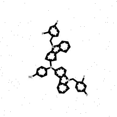 N#Cc1ccc(N(c2ccc3c(c2)c2ccccc2n3Cc2ccc(F)cc2F)c2ccc3c(c2)c2ccccc2n3Cc2ccc(F)cc2F)cc1